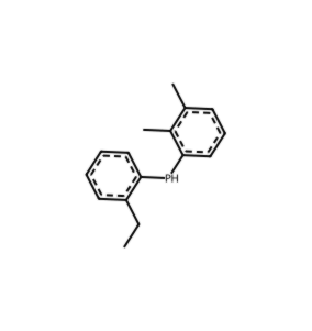 CCc1ccccc1Pc1cccc(C)c1C